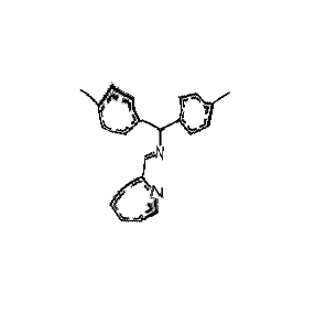 Cc1ccc(C(/N=C/c2ccccn2)c2ccc(C)cc2)cc1